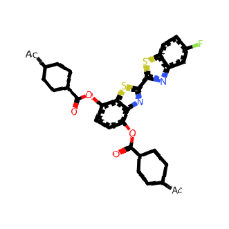 CC(=O)C1CCC(C(=O)Oc2ccc(OC(=O)C3CCC(C(C)=O)CC3)c3sc(-c4nc5cc(F)ccc5s4)nc23)CC1